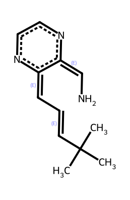 CC(C)(C)/C=C/C=c1/nccn/c1=C/N